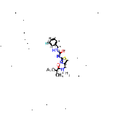 CC(=O)OC(C)C(=O)N(C)Cc1csc(NC(=O)NCc2cccc(F)c2)n1